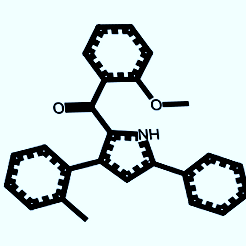 COc1ccccc1C(=O)c1[nH]c(-c2ccccc2)cc1-c1ccccc1C